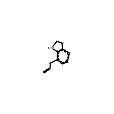 C=CCc1cccc2c1NCC2